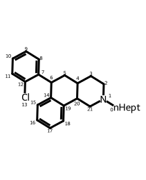 CCCCCCCN1CCC2CC(c3ccccc3Cl)c3ccccc3C2C1